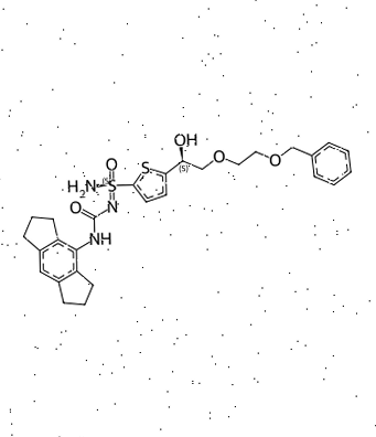 N[S@](=O)(=NC(=O)Nc1c2c(cc3c1CCC3)CCC2)c1ccc([C@@H](O)COCCOCc2ccccc2)s1